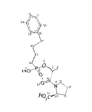 CC(OP(=O)(O)CCCCc1ccccc1)C(=O)N1CCC[C@H]1C(=O)O